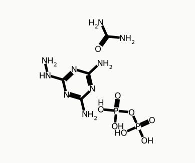 NC(N)=O.NNc1nc(N)nc(N)n1.O=P(O)(O)OP(=O)(O)O